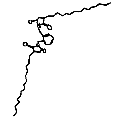 CCCCCCCCCCCCCCCC1=CC(=O)N(Cc2ccccc2CN2C(=O)C=C(CCCCCCCCCCCCCCC)C2=O)C1=O